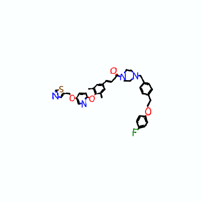 Cc1cc(C=CC(=O)N2CCN(Cc3ccc(CCOc4ccc(F)cc4)cc3)CC2)cc(C)c1Oc1ccc(OCc2cncs2)cn1